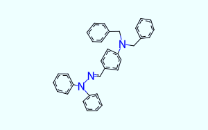 C(=N\N(c1ccccc1)c1ccccc1)/c1ccc(N(Cc2ccccc2)Cc2ccccc2)cc1